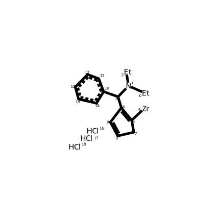 CCN(CC)C(C1=[C]([Zr])CC=C1)c1ccccc1.Cl.Cl.Cl